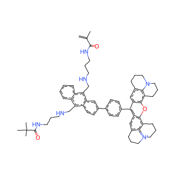 C=C(C)C(=O)NCCCNCc1c2ccccc2c(CNCCCNC(=O)C(C)(C)C)c2ccc(-c3ccc(C4=c5cc6c7c(c5Oc5c4cc4c8c5CCCN8CCC4)CCC[N+]=7CCC6)cc3)cc12